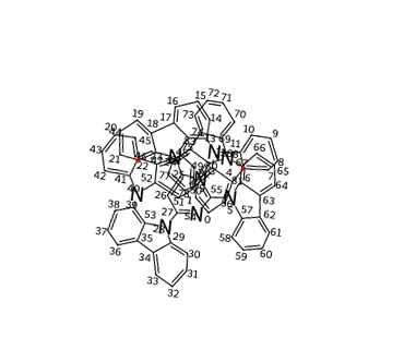 c1ccc2c(c1)c1ccccc1n2-c1cccc2c3ccccc3n(-c3cc(-n4c5ccccc5c5cccc(-n6c7ccccc7c7ccccc76)c54)nc(-n4c5ccccc5c5cccc(-n6c7ccccc7c7ccccc76)c54)n3)c12